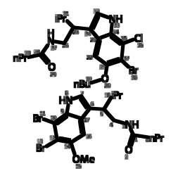 CCCC(=O)NCC(c1c[nH]c2c(Br)c(Br)c(OC)cc12)C(C)C.CCCCOc1cc2c(C(CNC(=O)CCC)C(C)C)c[nH]c2c(Cl)c1Br